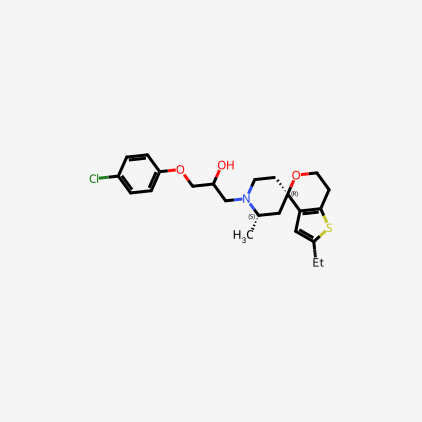 CCc1cc2c(s1)CCO[C@@]21CCN(CC(O)COc2ccc(Cl)cc2)[C@@H](C)C1